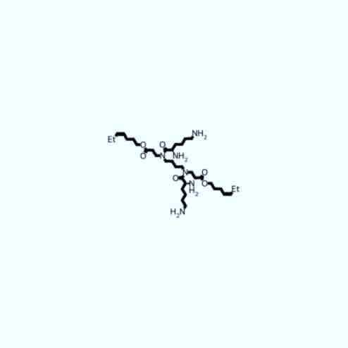 CC/C=C\CCCOC(=O)CCN(CCCCN(CCC(=O)OCCC/C=C\CC)C(=O)[C@@H](N)CCCCN)C(=O)[C@@H](N)CCCCN